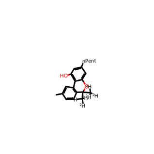 [2H]C([2H])([2H])C1(C([2H])([2H])[2H])Oc2cc(CCCCC)cc(O)c2-c2cc(C)ccc21